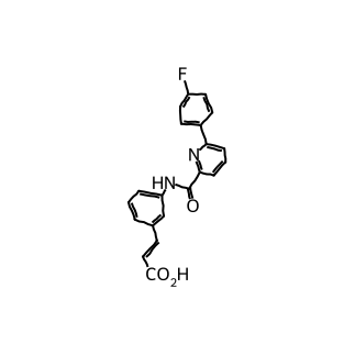 O=C(O)C=Cc1cccc(NC(=O)c2cccc(-c3ccc(F)cc3)n2)c1